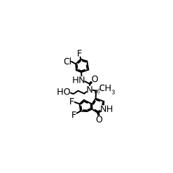 C[C@H](c1c[nH]c(=O)c2cc(F)c(F)cc12)N(CCCO)C(=O)Nc1ccc(F)c(Cl)c1